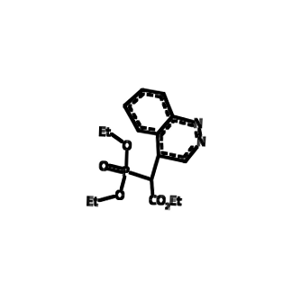 CCOC(=O)C(c1cnnc2ccccc12)P(=O)(OCC)OCC